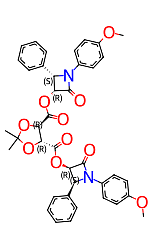 COc1ccc(N2C(=O)[C@H](OC(=O)[C@@H]3OC(C)(C)O[C@H]3C(=O)O[C@H]3C(=O)N(c4ccc(OC)cc4)[C@H]3c3ccccc3)[C@@H]2c2ccccc2)cc1